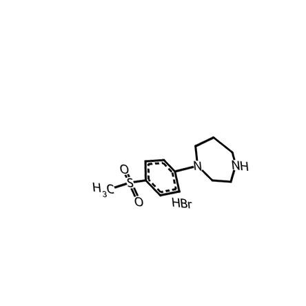 Br.CS(=O)(=O)c1ccc(N2CCCNCC2)cc1